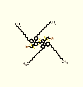 CCCCCCCCCCCCc1ccc(C2(c3ccc(CCCCCCCCCCCC)cc3)c3c(sc4cc(Br)sc34)-c3sc4c5c(sc4c32)-c2sc3cc(Br)sc3c2C5(c2ccc(CCCCCCCCCCCC)cc2)c2ccc(CCCCCCCCCCCC)cc2)cc1